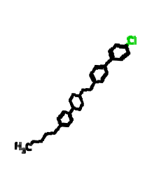 CCCCCc1ccc(C2CCC(CCc3ccc(-c4ccc(Cl)cc4)cc3)CC2)cc1